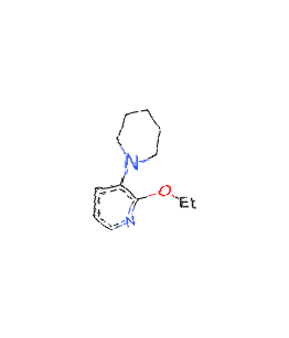 CCOc1ncccc1N1CCCCC1